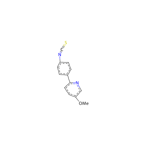 COc1ccc(-c2ccc(N=C=S)cc2)nc1